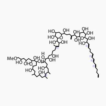 C=CCC/C=C/C=C/C=C/CC/C=C/C(O)C(O)C1OC(C(O)C(O)C(=C)CCC(O)C2CC(O)C(O)C(C(O)C(O)/C=C(\C)CCC(O)CC(O)C(O)C(C)CC(O)CC(C)/C=C(\C)CC(O)CC(C)CC(O)C3CC(O)C(O)C(CC(O)CC(O)COC)O3)O2)CC(O)C1O